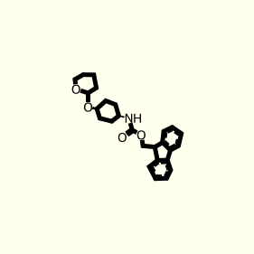 O=C(N[C@H]1CC[C@H](OC2CCCCO2)CC1)OCC1c2ccccc2-c2ccccc21